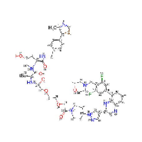 Cc1ncsc1-c1ccc(CNC(=O)[C@@H]2C[C@@H](O)CN2C(=O)[C@@H](NC(=O)COCCOCC(=O)N2CCC(n3cc(-c4cnc5cccc(-c6cc(F)c(CN7CCOCC7)c(F)c6)c5n4)cn3)CC2)C(C)(C)C)cc1